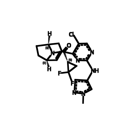 Cn1cc(Nc2ncc(Cl)c(C3=C[C@H]4CC[C@@H](C3)N4C(=O)[C@@H]3CC3(F)F)n2)cn1